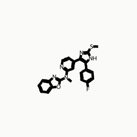 CSc1nc(-c2ccnc(N(C)c3nc4ccccc4o3)c2)c(-c2ccc(F)cc2)[nH]1